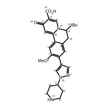 COc1cc2c(cc1-c1cnn(C3CCNCC3)c1)CC(C(C)(C)C)n1cc(C(=O)O)c(=O)cc1-2